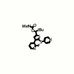 CNC(=O)OC(c1cc(-c2cccnc2F)c(Sc2ccncc2)s1)C(C)(C)C